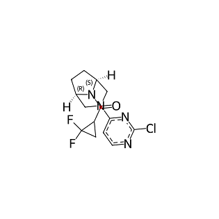 O=C(C1CC1(F)F)N1[C@@H]2CC[C@H]1CN(c1ccnc(Cl)n1)C2